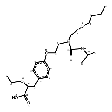 CCCCSCCN(CCOc1ccc(CC(OCC)C(=O)O)cc1)C(=O)NC(C)C